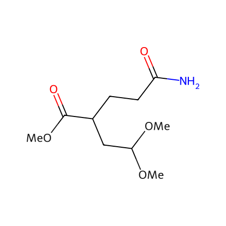 COC(=O)C(CCC(N)=O)CC(OC)OC